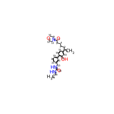 C=C(CCCCC(=O)N1CCOCC1)c1ccc(-c2cccc(CNC(=O)NCC)c2)c(O)c1